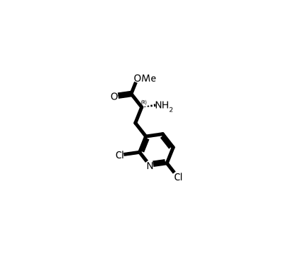 COC(=O)[C@H](N)Cc1ccc(Cl)nc1Cl